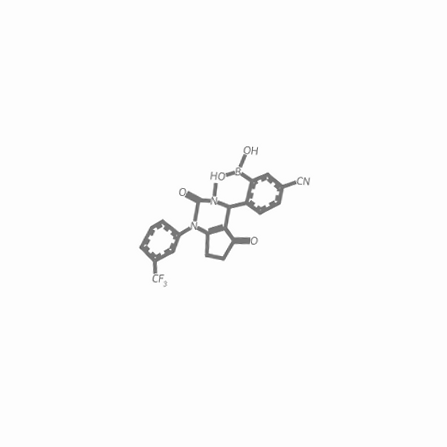 CN1C(=O)N(c2cccc(C(F)(F)F)c2)C2=C(C(=O)CC2)C1c1ccc(C#N)cc1B(O)O